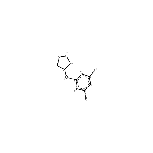 Fc1cc(F)nc(OC2CCOC2)n1